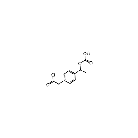 CC(OC(=O)O)c1ccc(CC(=O)Cl)cc1